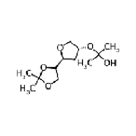 CC(C)(O)O[C@H]1CO[C@H](C2COC(C)(C)O2)C1